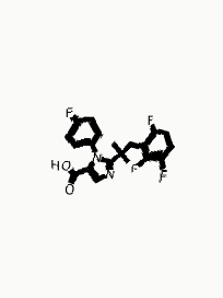 CC(C)(Cc1c(F)ccc(F)c1F)c1ncc(C(=O)O)n1-c1ccc(F)cc1